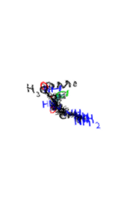 COC(=O)N[C@@H](C)CCCc1cc(Cl)c(F)c(-c2cc3cn(-c4ccc([C@H](C)NCCCNC(=N)N)cc4)c(=O)nc3[nH]2)c1